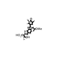 COC(C)Cn1c(-c2cc(C)c(=O)n(C)c2)nc2cc(CN[C@H](C(=O)O)[C@@H](C)O)ccc21